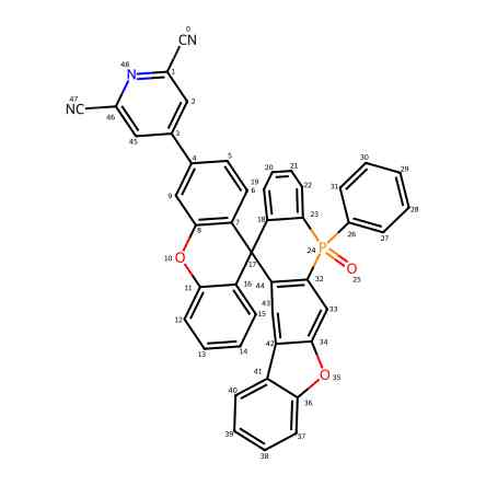 N#Cc1cc(-c2ccc3c(c2)Oc2ccccc2C32c3ccccc3P(=O)(c3ccccc3)c3cc4oc5ccccc5c4cc32)cc(C#N)n1